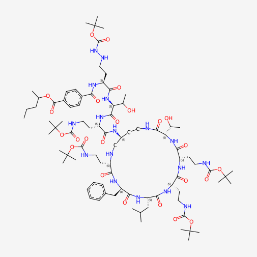 CCCC(C)OC(=O)c1ccc(C(=O)N[C@@H](CCNNC(=O)OC(C)(C)C)C(=O)N[C@H](C(=O)N[C@@H](CCNC(=O)OC(C)(C)C)C(=O)N[C@H]2CCNC(=O)[C@H](C(C)O)NC(=O)[C@H](CCNC(=O)OC(C)(C)C)NC(=O)[C@H](CCNC(=O)OC(C)(C)C)NC(=O)[C@H](CC(C)C)NC(=O)[C@@H](Cc3ccccc3)NC(=O)[C@H](CCNC(=O)OC(C)(C)C)NC2)C(C)O)cc1